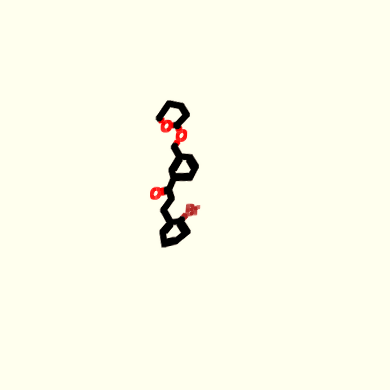 O=C(CCc1ccccc1Br)c1cccc(COC2CCCCO2)c1